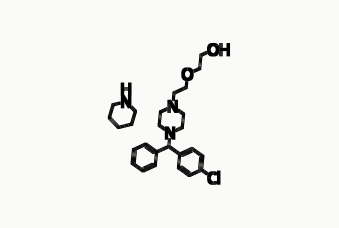 C1CCNCC1.OCCOCCN1CCN(C(c2ccccc2)c2ccc(Cl)cc2)CC1